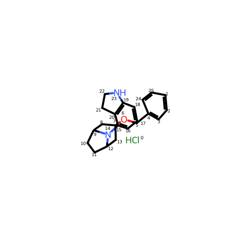 Cl.c1ccc(COC2CC3CCC(C2)N3c2cccc3c2CCN3)cc1